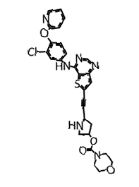 O=C(OC1CNC(C#Cc2cc3ncnc(Nc4ccc(Oc5ccccn5)c(Cl)c4)c3s2)C1)N1CCOCC1